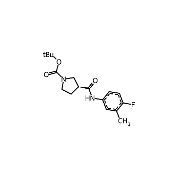 Cc1cc(NC(=O)[C@H]2CCN(C(=O)OC(C)(C)C)C2)ccc1F